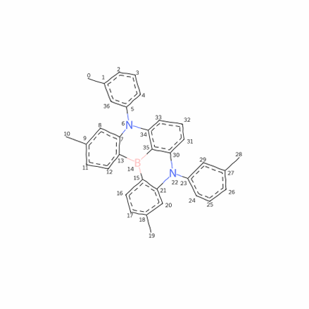 Cc1cccc(N2c3cc(C)ccc3B3c4ccc(C)cc4N(c4cccc(C)c4)c4cccc2c43)c1